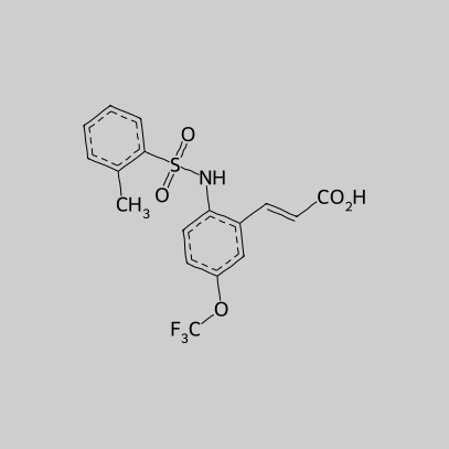 Cc1ccccc1S(=O)(=O)Nc1ccc(OC(F)(F)F)cc1/C=C/C(=O)O